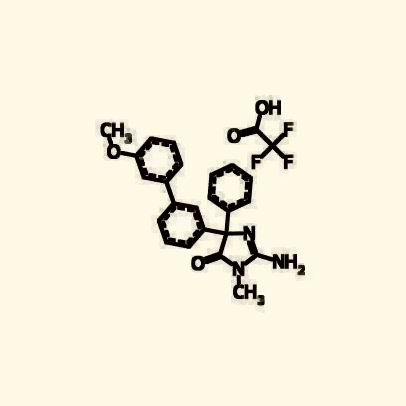 COc1cccc(-c2cccc(C3(c4ccccc4)N=C(N)N(C)C3=O)c2)c1.O=C(O)C(F)(F)F